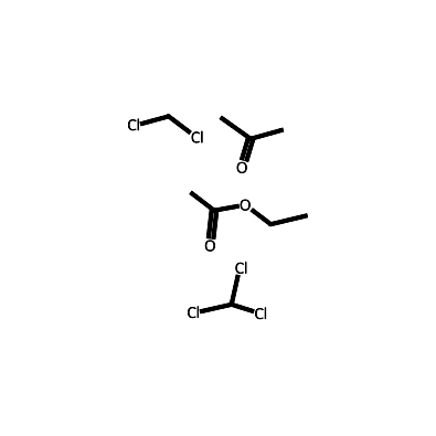 CC(C)=O.CCOC(C)=O.ClC(Cl)Cl.ClCCl